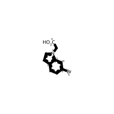 O=C(O)Cn1ccc2ccc(Br)cc21